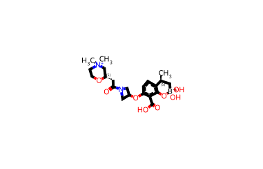 C[C@H]1C[B-](O)(O)Oc2c1ccc(OC1CN(C(=O)C[C@H]3C[N+](C)(C)CCO3)C1)c2C(=O)O